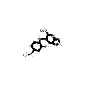 COc1nc2nonc2cc1Nc1ccc(OC(F)(F)F)cc1F